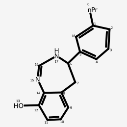 CCCc1cccc(C2Cc3cccc(O)c3N=CN2)c1